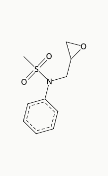 CS(=O)(=O)N(CC1CO1)c1ccccc1